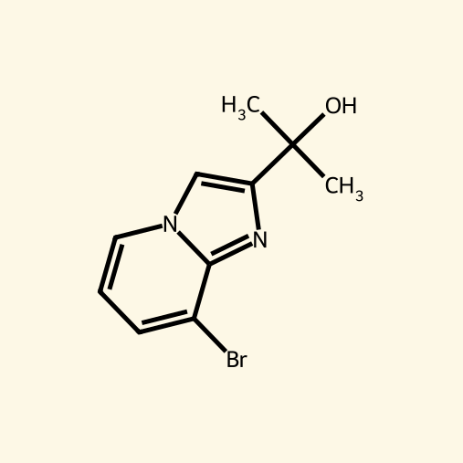 CC(C)(O)c1cn2cccc(Br)c2n1